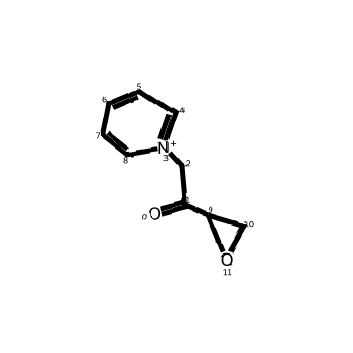 O=C(C[n+]1ccccc1)C1CO1